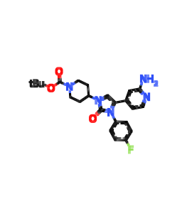 CC(C)(C)OC(=O)N1CCC(n2cc(-c3ccnc(N)c3)n(-c3ccc(F)cc3)c2=O)CC1